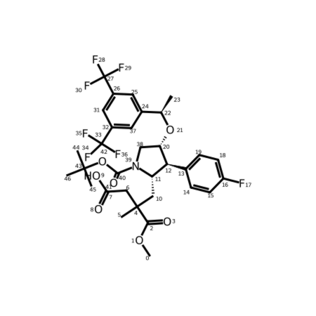 COC(=O)C(C)(CC(=O)O)C[C@H]1[C@H](c2ccc(F)cc2)[C@@H](O[C@H](C)c2cc(C(F)(F)F)cc(C(F)(F)F)c2)CN1C(=O)OC(C)(C)C